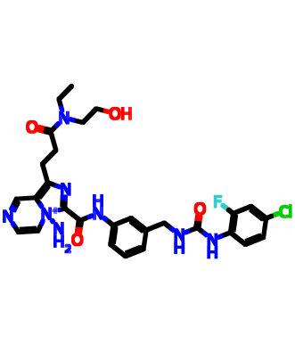 CCN(CCO)C(=O)CCC1=C2C=NC=C[N+]2(N)C(C(=O)Nc2cccc(CNC(=O)Nc3ccc(Cl)cc3F)c2)=N1